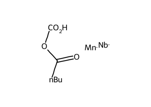 CCCCC(=O)OC(=O)O.[Mn].[Nb]